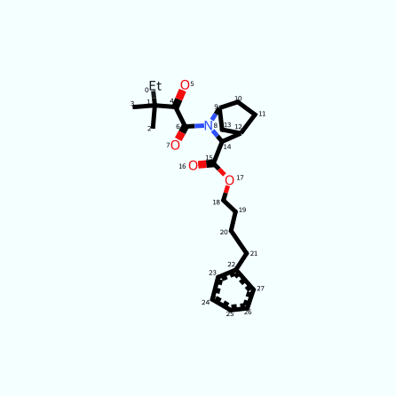 CCC(C)(C)C(=O)C(=O)N1C2CCC(C2)C1C(=O)OCCCCc1ccccc1